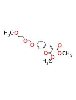 COCCOCOc1ccc(C=C(C(=O)OC)C(=O)OC)cc1